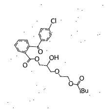 CCC(C)C(=O)OCCOCC(O)COC(=O)c1ccccc1C(=O)c1ccc(Cl)cc1